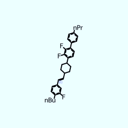 CCCCc1ccc(/C=C/C2CCC(c3ccc(-c4ccc(CCC)cc4)c(F)c3F)CC2)cc1F